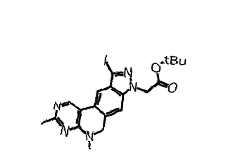 Cc1ncc2c(n1)N(C)Cc1cc3c(cc1-2)c(I)nn3CC(=O)OC(C)(C)C